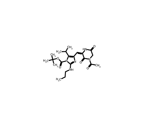 CCCNc1nc(C=C2NC(=O)CN(C(C)=O)C2=O)c(C(C)C)n1C(=O)OC(C)(C)C